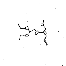 C=CC[C@H](COC)OCC(OCC)OCC